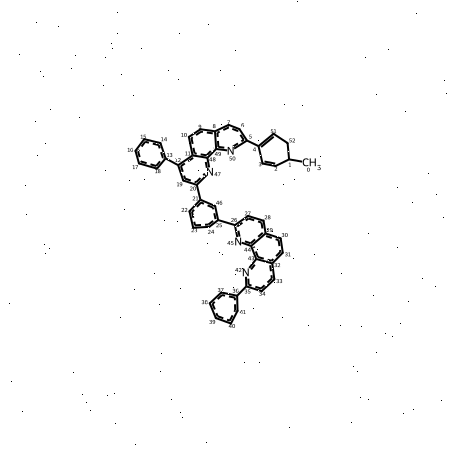 CC1C=CC(c2ccc3ccc4c(-c5ccccc5)cc(-c5cccc(-c6ccc7ccc8ccc(-c9ccccc9)nc8c7n6)c5)nc4c3n2)=CC1